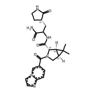 CC1(C)[C@@H]2[C@@H](C(=O)NC(C[C@@H]3CCNC3=O)C(N)=O)N(C(=O)c3ccc4nccn4c3)C[C@@H]21